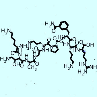 C[C@H](NC(=O)[C@@H](NC(=O)[C@@H](N)CCCCN)[C@@H](O)CN)C(=O)NCC(=O)N[C@H](CCCN)C(=O)N1CCC[C@H]1C(=O)SN[C@@H](Cc1cccc(C(N)=O)c1)C(=O)N[C@@H](CCCCN)C(=O)N/C(=C\CCNC(=N)N)C(=O)O